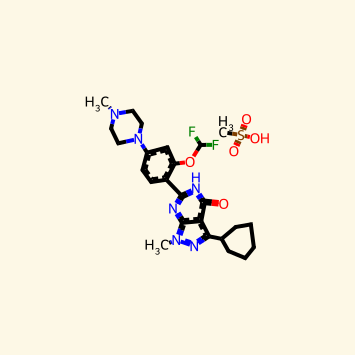 CN1CCN(c2ccc(-c3nc4c(c(C5CCCCC5)nn4C)c(=O)[nH]3)c(OC(F)F)c2)CC1.CS(=O)(=O)O